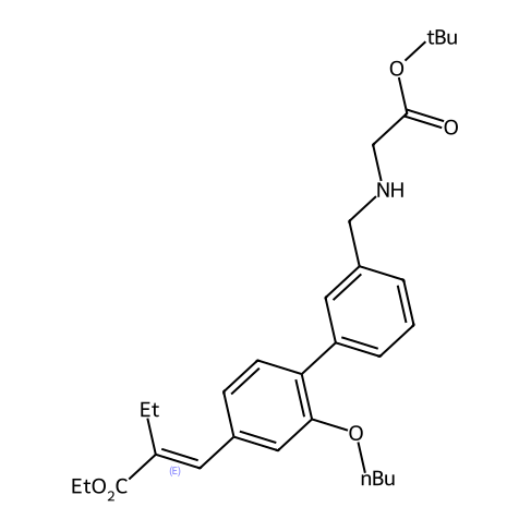 CCCCOc1cc(/C=C(\CC)C(=O)OCC)ccc1-c1cccc(CNCC(=O)OC(C)(C)C)c1